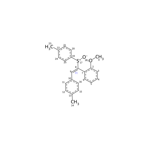 COc1ccccc1/C(=C\c1ccc(C)cc1)[S+]([O-])c1ccc(C)cc1